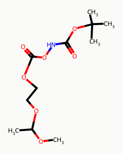 COC(C)OCCOC(=O)ONC(=O)OC(C)(C)C